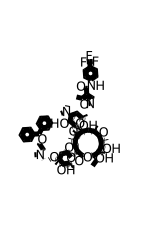 CC[C@H]1OC(=O)[C@H](C)[C@@H](O[C@H]2C[C@@](C)(OC)[C@@H](O)[C@H](C)O2)[C@H](C)[C@@H](O[C@@H]2O[C@H](C)C[C@H](N(C)C)[C@H]2O)[C@](C)(O)C[C@@H](C)C(=O)[C@H](C)[C@@H](O)[C@]1(C)O.CN(C)CCOC(c1ccccc1)c1ccccc1.Cc1oncc1C(=O)Nc1ccc(C(F)(F)F)cc1